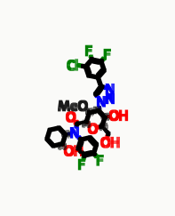 CO[C@@H]1[C@@H](n2cc(-c3cc(F)c(F)c(Cl)c3)nn2)[C@@H](O)[C@@H](CO)O[C@H]1C(=O)N(c1ccc(F)c(F)c1)[C@H]1CCCC[C@@H]1O